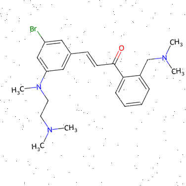 CN(C)CCN(C)c1cc(Br)cc(C=CC(=O)c2ccccc2CN(C)C)c1